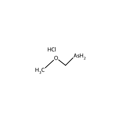 COC[AsH2].Cl